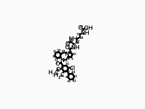 COc1c(C(=O)N2Cc3ccc(C(=O)N[C@@H](CCCCNC(=O)O)C(N)=O)n3Cc3ccccc32)cc(Cl)c(-c2ccccc2)c1C